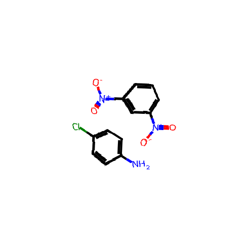 Nc1ccc(Cl)cc1.O=[N+]([O-])c1cccc([N+](=O)[O-])c1